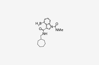 Bc1cccc2c1c(C(=O)NCC1CCCCCC1)cn2C(=O)NC